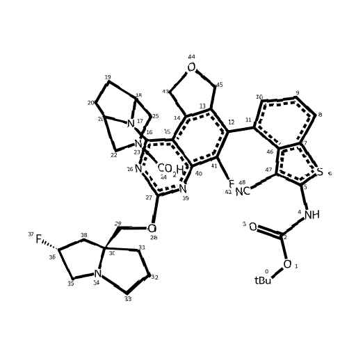 CC(C)(C)OC(=O)Nc1sc2cccc(-c3c4c(c5c(N6C7CCC6CN(C(=O)O)C7)nc(OC[C@@]67CCCN6C[C@H](F)C7)nc5c3F)COC4)c2c1C#N